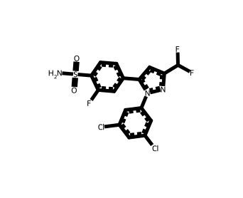 NS(=O)(=O)c1ccc(-c2cc(C(F)F)nn2-c2cc(Cl)cc(Cl)c2)cc1F